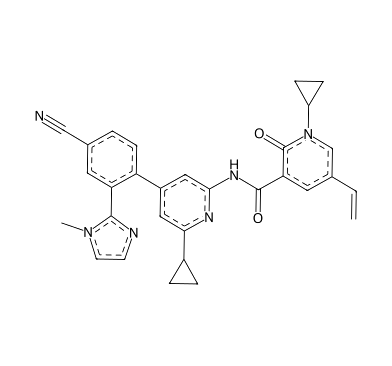 C=Cc1cc(C(=O)Nc2cc(-c3ccc(C#N)cc3-c3nccn3C)cc(C3CC3)n2)c(=O)n(C2CC2)c1